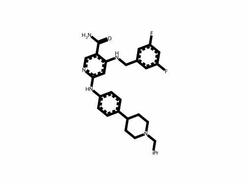 CC(C)CN1CCC(c2ccc(Nc3cc(NCc4cc(F)cc(F)c4)c(C(N)=O)cn3)cc2)CC1